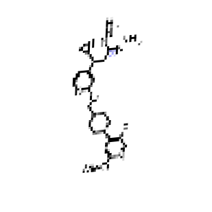 COc1cc(C2CCC(COc3cc(C(C/C(=N/N)NN)C4CC4)ccn3)CC2)c(F)cn1